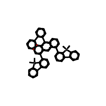 C[Si]1(C)c2ccccc2-c2cccc(-c3cccc4c(-c5ccccc5-c5ccccc5)c5cccc(-c6cccc7c6[Si](C)(C)c6ccccc6-7)c5cc34)c21